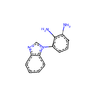 Nc1cccc(-n2cnc3ccccc32)c1N